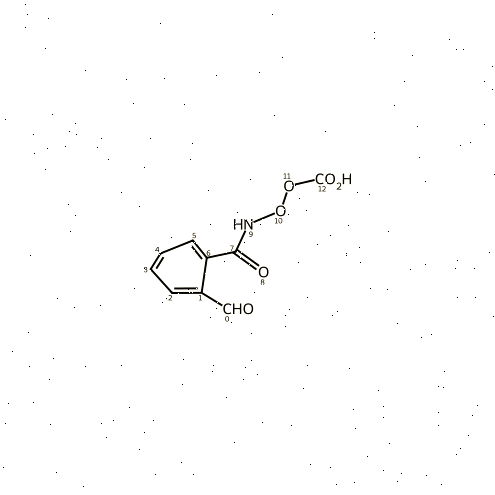 O=Cc1ccccc1C(=O)NOOC(=O)O